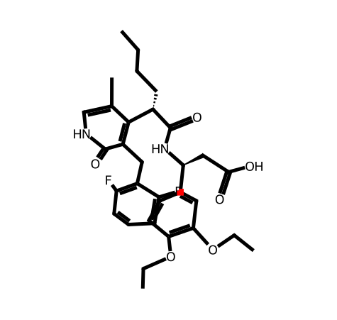 CCCC[C@H](C(=O)N[C@@H](CC(=O)O)c1ccc(OCC)c(OCC)c1)c1c(C)c[nH]c(=O)c1Cc1c(F)cccc1F